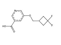 O=C(O)c1cncc(OCC2CC(F)(F)C2)c1